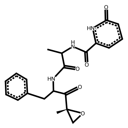 CC(NC(=O)c1cccc(=O)[nH]1)C(=O)NC(Cc1ccccc1)C(=O)[C@@]1(C)CO1